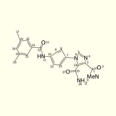 CNC(=O)c1ncn(-c2ccc(NC(=O)c3cc(C)cc(C)c3)cc2)c1C(N)=O